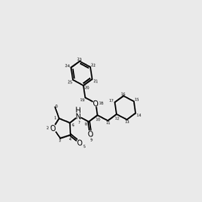 CC1OCC(=O)C1NC(=O)C(CC1CCCCC1)OCc1ccccc1